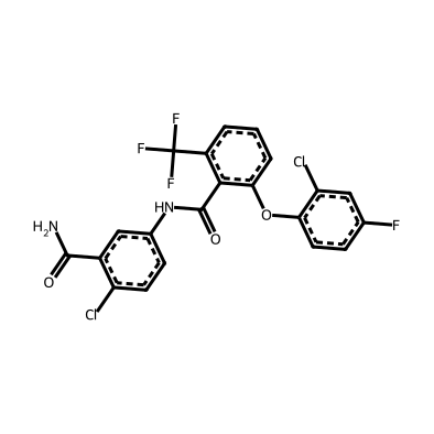 NC(=O)c1cc(NC(=O)c2c(Oc3ccc(F)cc3Cl)cccc2C(F)(F)F)ccc1Cl